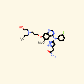 COc1cc2c(N(c3cccc(F)c3)c3cc(CC(N)=O)[nH]n3)ncnc2cc1OCCCN(CCO)CCC(F)(F)F